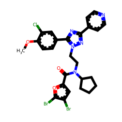 COc1ccc(-c2nc(-c3ccncc3)nn2CCN(C(=O)c2cc(Br)c(Br)o2)C2CCCC2)cc1Cl